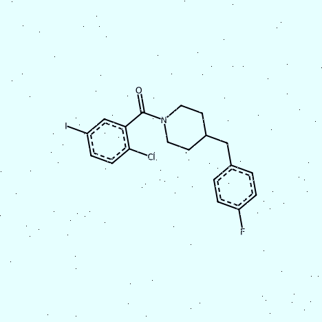 O=C(c1cc(I)ccc1Cl)N1CCC(Cc2ccc(F)cc2)CC1